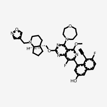 C#Cc1c(F)ccc2cc(O)cc(-c3nc(OC)c4c(N5CCCOCC5)nc(OC[C@]56CCC[C@H]5N(Cc5cnoc5)CCC6)nc4c3F)c12